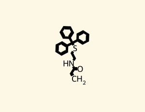 C=CC(=O)NCCSC(c1ccccc1)(c1ccccc1)c1ccccc1